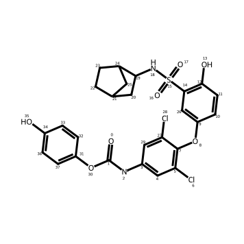 O=C([N]c1cc(Cl)c(Oc2ccc(O)c(S(=O)(=O)NC3CC4CCC3C4)c2)c(Cl)c1)Oc1ccc(O)cc1